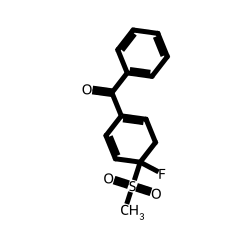 CS(=O)(=O)C1(F)C=CC(C(=O)c2ccccc2)=CC1